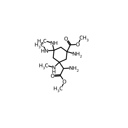 CNC1(NC)CC(N)(C(=O)OC)CC(NC)(C(N)C(=O)OC)C1